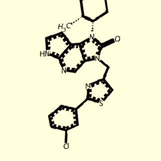 C[C@@H]1CCCC[C@@H]1n1c(=O)n(Cc2csc(-c3cccc(Cl)c3)n2)c2cnc3[nH]ccc3c21